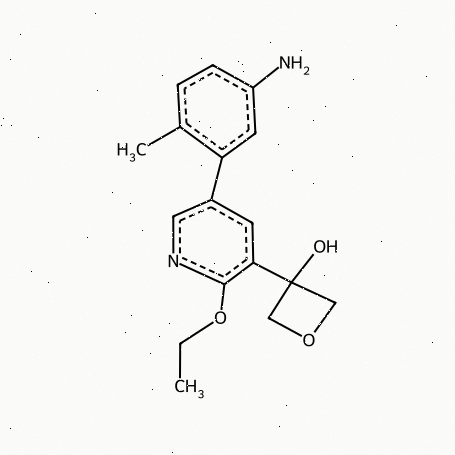 CCOc1ncc(-c2cc(N)ccc2C)cc1C1(O)COC1